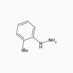 CC(C)(C)c1ccccc1NN